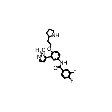 Cn1nccc1-c1cc(NC(=O)c2ccc(F)c(F)c2)ccc1OCCC1CCCN1